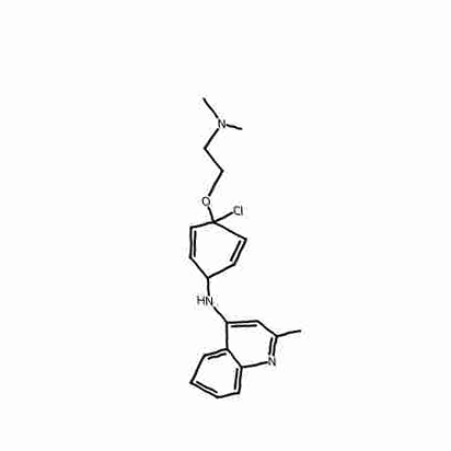 Cc1cc(NC2C=CC(Cl)(OCCN(C)C)C=C2)c2ccccc2n1